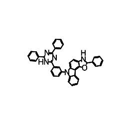 c1ccc(C2=NC(c3ccccc3)NC(c3cccc(-n4c5ccccc5c5c6c(ccc54)NC(c4ccccc4)O6)c3)=N2)cc1